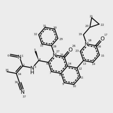 C=N/C(N[C@@H](C)c1cc2cccc(-c3ccc(=O)n(CC4CC4)c3)c2c(=O)n1-c1ccccc1)=C(\C)C#N